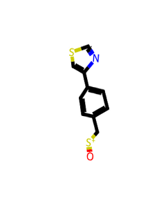 O=[S+]Cc1ccc(-c2cs[c]n2)cc1